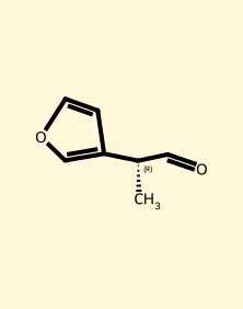 C[C@@H](C=O)c1ccoc1